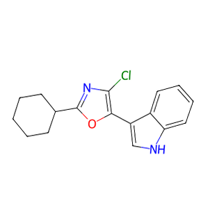 Clc1nc(C2CCCCC2)oc1-c1c[nH]c2ccccc12